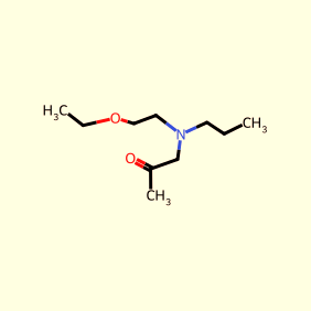 CCCN(CCOCC)CC(C)=O